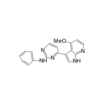 COc1ccnc2[nH]cc(-c3ccnc(Nc4ccccc4)n3)c12